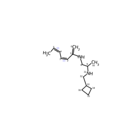 C=C(/C=C\C=C/C)NCC(C)NCC1CCC1